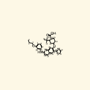 CCCOc1cccc(Nc2ncc3cc(-c4nccs4)c(OC4CCN(C(=O)O)C(C(C)(C)C)C4)cc3n2)c1